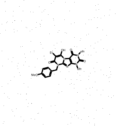 CCCn1c(=O)c2c(nc3n(Cc4ccc(OC)cc4)c(=O)c(CC)c(O)n23)n(CCC)c1=O